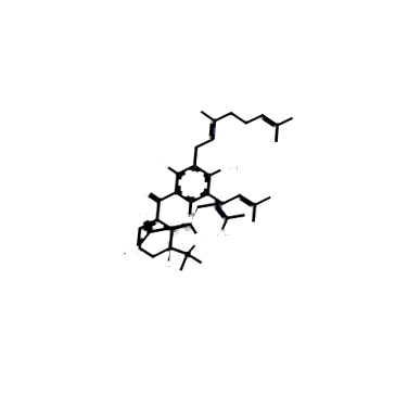 CC(C)=CCC/C(C)=C/Cc1c(O)c(CC=C(C)C)c2c(c1O)C(=O)C1=C[C@@H]3C[C@H]4C(C)(C)O[C@@](C/C=C(/C)C=O)(C3=O)[C@@]14O2